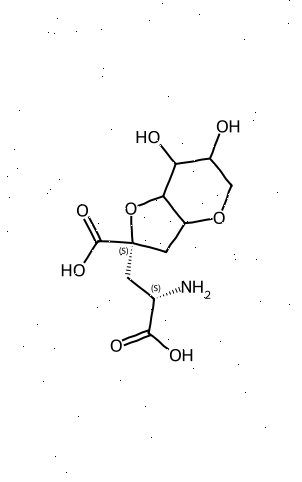 N[C@@H](C[C@@]1(C(=O)O)CC2OCC(O)C(O)C2O1)C(=O)O